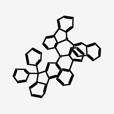 c1ccc(-c2ccccc2N(c2ccc3c(c2)C(c2ccccc2)(c2ccccc2)c2ccccc2-3)c2cccc3c4ccccc4n(-c4ccc5ccccc5c4)c23)cc1